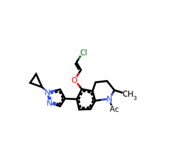 CC(=O)N1c2ccc(-c3cnn(C4CC4)c3)c(OC=CCl)c2CCC1C